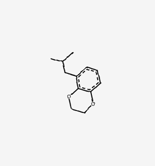 CC(C)Cc1cccc2c1OCCO2